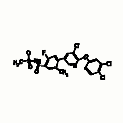 Cc1cc(C(=O)NS(C)(=O)=O)c(F)cc1-c1cnc(Oc2ccc(Cl)c(Cl)c2)c(Cl)c1